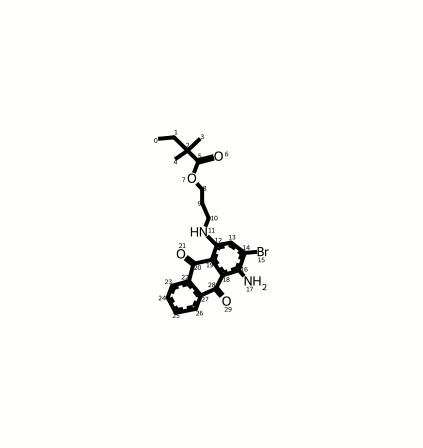 CCC(C)(C)C(=O)OCCCNc1cc(Br)c(N)c2c1C(=O)c1ccccc1C2=O